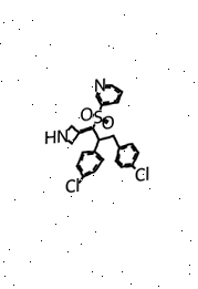 O=S(=O)(C(=C1CNC1)C(Cc1ccc(Cl)cc1)c1ccc(Cl)cc1)c1cccnc1